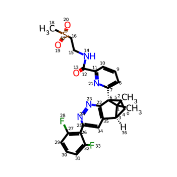 CC1(C)[C@H]2CC[C@]1(c1cccc(C(=O)NCCS(C)(=O)=O)n1)c1nnc(-c3c(F)cccc3F)cc12